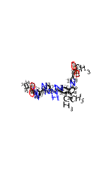 CC(C)c1ccc(N2CC(CS(C)(=O)=O)C2)c2cnc(Nc3ccnc(-c4cnn(S(=O)(=O)C5CCC5)c4)n3)cc12